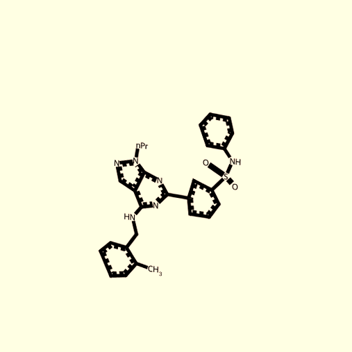 CCCn1ncc2c(NCc3ccccc3C)nc(-c3cccc(S(=O)(=O)Nc4ccccc4)c3)nc21